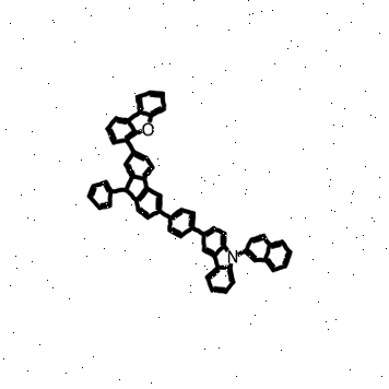 c1ccc(C2c3ccc(-c4ccc(-c5ccc6c(c5)c5ccccc5n6-c5ccc6ccccc6c5)cc4)cc3-c3ccc(-c4cccc5c4oc4ccccc45)cc32)cc1